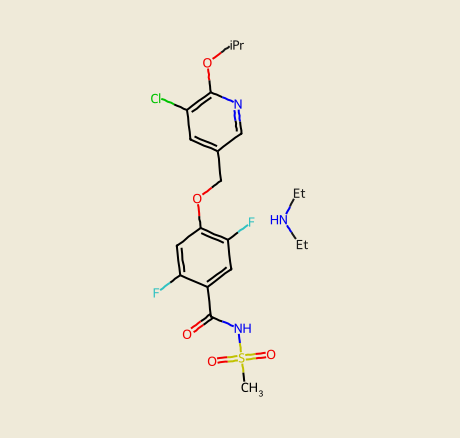 CC(C)Oc1ncc(COc2cc(F)c(C(=O)NS(C)(=O)=O)cc2F)cc1Cl.CCNCC